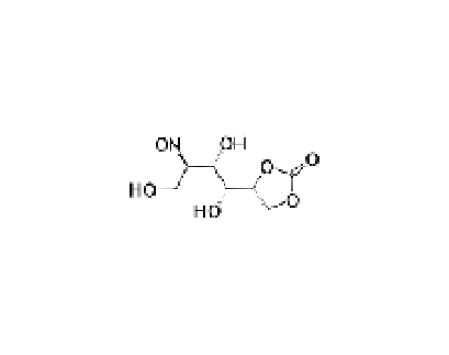 O=N[C@H](CO)[C@H](O)[C@@H](O)[C@H]1COC(=O)O1